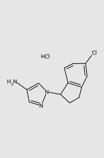 Cl.Nc1cnn(C2CCc3cc(Cl)ccc32)c1